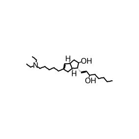 CCCCC[C@@H](O)/C=C/[C@@H]1[C@H]2CC(CCCCCN(CC)CC)=C[C@H]2C[C@H]1O